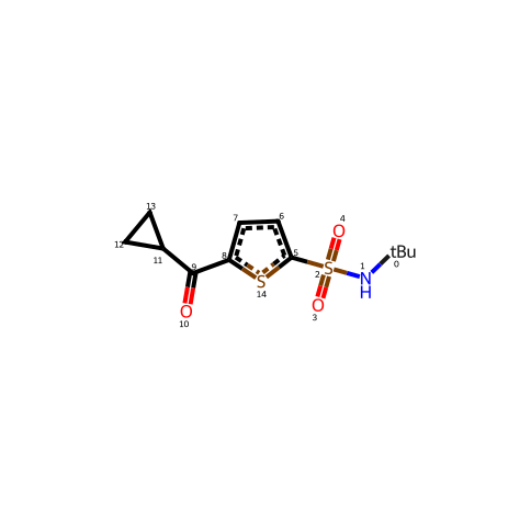 CC(C)(C)NS(=O)(=O)c1ccc(C(=O)C2CC2)s1